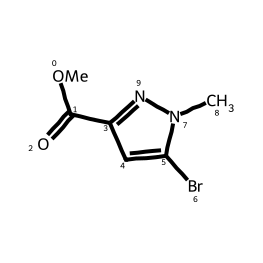 COC(=O)c1cc(Br)n(C)n1